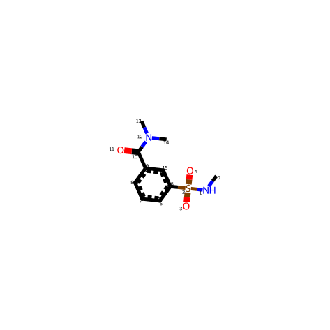 CNS(=O)(=O)c1cccc(C(=O)N(C)C)c1